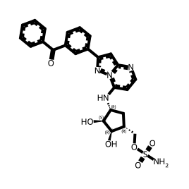 NS(=O)(=O)OC[C@H]1C[C@@H](Nc2ccnc3cc(-c4cccc(C(=O)c5ccccc5)c4)nn23)[C@H](O)[C@@H]1O